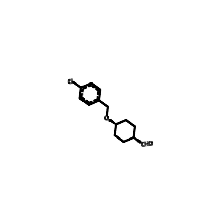 O=C[C@H]1CC[C@@H](OCc2ccc(Cl)cc2)CC1